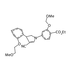 CCOC(=O)c1ccc(N2C=C(C#N)C(c3ccccc3OCCOC)C2)cc1OCOC